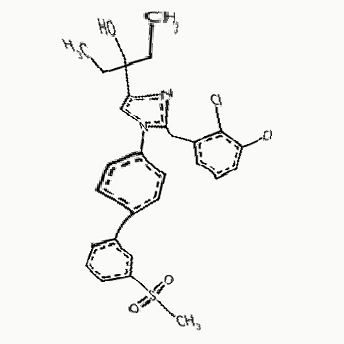 CCC(O)(CC)c1cn(-c2ccc(-c3cccc(S(C)(=O)=O)c3)cc2)c(-c2cccc(Cl)c2Cl)n1